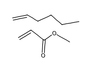 C=CC(=O)OC.C=CCCCC